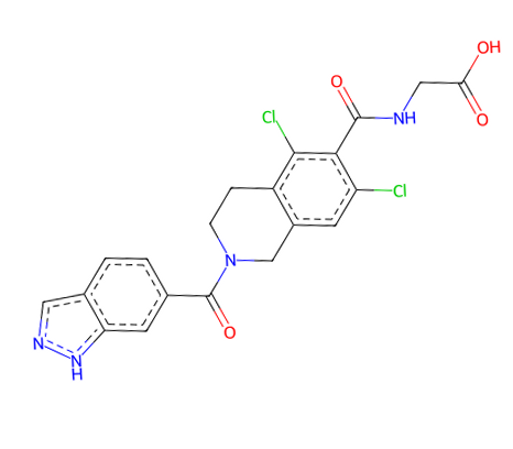 O=C(O)CNC(=O)c1c(Cl)cc2c(c1Cl)CCN(C(=O)c1ccc3cn[nH]c3c1)C2